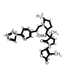 CO[C@@H](CN1C(C)CCC1CC1(C)CCN(C2=C(C)C(=O)OC2)C1=O)c1ccc(-n2cnnn2)nc1